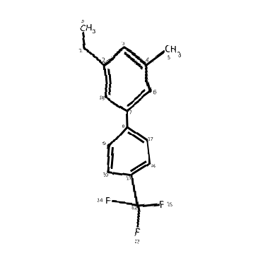 CCc1cc(C)cc(-c2ccc(C(F)(F)F)cc2)c1